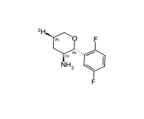 [2H][C@H]1CO[C@H](c2cc(F)ccc2F)[C@@H](N)C1